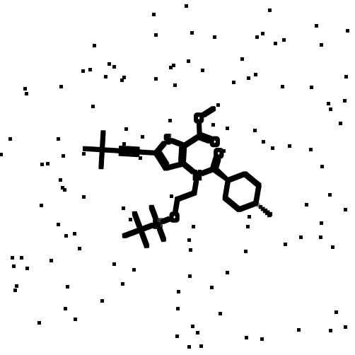 COC(=O)c1sc(C#CC(C)(C)C)cc1N(CCO[Si](C)(C)C(C)(C)C)C(=O)[C@H]1CC[C@H](C)CC1